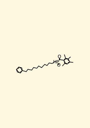 Cc1cc(C)c(C(=O)[PH](=O)CCCCCCCCCCCCc2ccccc2)c(C)c1C